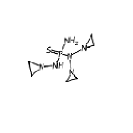 NP(=S)(NN1CC1)N(N1CC1)N1CC1